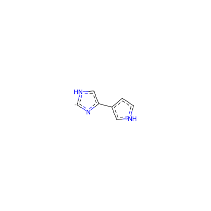 [c]1nc(-c2cc[nH]c2)c[nH]1